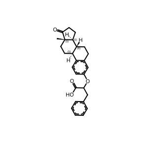 C[C@]12CC[C@@H]3c4ccc(OC(Cc5ccccc5)C(=O)O)cc4CC[C@H]3[C@@H]1CCC2=O